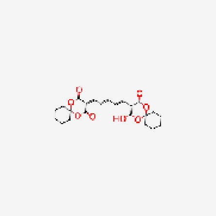 O=C1OC2(CCCCC2)OC(=O)C1=C/C=C/C=C/C1=C(O)OC2(CCCCC2)OC1=O